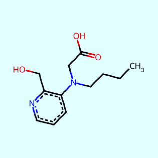 CCCCN(CC(=O)O)c1cccnc1CO